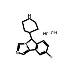 Cl.Cl.Fc1ccc2c(c1)-c1cncn1C2C1CCNCC1